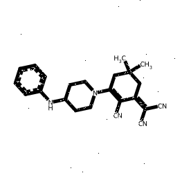 CC1(C)CC(=C(C#N)C#N)C(C#N)=C(N2CCC(Nc3ccccc3)CC2)C1